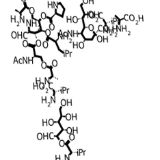 CC(=O)N[C@@H](COC(=O)[C@H](C)N)C(=O)O[C@@H]([C@H](OC(=O)[C@@H](N)CC(C)C)[C@@H](COC(=O)[C@H](C)N)OC(=O)[C@@H]1CCCN1)[C@@H](N)C=O.CC(=O)N[C@H]1[C@H]([C@H](O)[C@H](O)CO)O[C@](O)(C(=O)O)C[C@@H]1O.CC(C)[C@H](N)C(=O)O.CC(C)[C@H](N)C(=O)O.CC(C)[C@H](N)C(=O)O[C@@H](C=O)[C@@H](O)[C@@H](O)[C@H](O)CO.C[C@H](N)C(=O)O